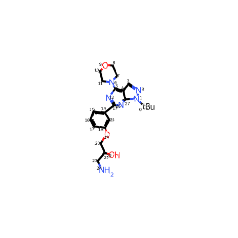 CC(C)(C)n1ncc2c(N3CCOCC3)nc(-c3cccc(OCC(O)CN)c3)nc21